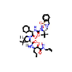 C=CCNC(=O)C(O)C(CCC)NC(=O)[C@@H]1[C@@H]2[C@H](CN1C(=O)[C@@H](NC(=O)N[C@H](CN1Cc3ccccc3S1(=O)=O)C(C)(C)C)C1CCCCC1)C2(C)C